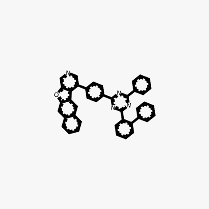 c1ccc(-c2nc(-c3ccc(-c4cncc5oc6cc7ccccc7cc6c45)cc3)nc(-c3ccccc3-c3ccccc3)n2)cc1